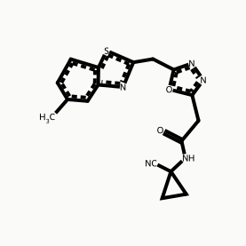 Cc1ccc2sc(Cc3nnc(CC(=O)NC4(C#N)CC4)o3)nc2c1